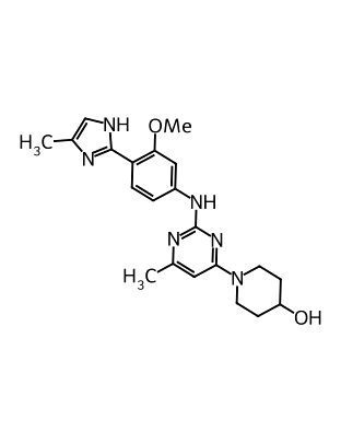 COc1cc(Nc2nc(C)cc(N3CCC(O)CC3)n2)ccc1-c1nc(C)c[nH]1